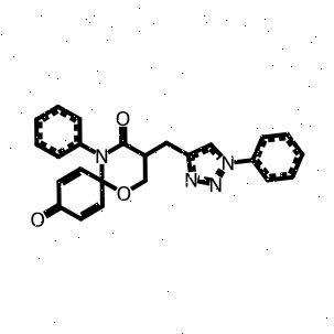 O=C1C=CC2(C=C1)OCC(Cc1cn(-c3ccccc3)nn1)C(=O)N2c1ccccc1